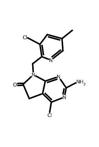 Cc1cnc(CN2C(=O)Cc3c(Cl)nc(N)nc32)c(Cl)c1